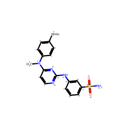 CC(=O)Nc1ccc(N(C)c2ccnc(Nc3cccc(S(N)(=O)=O)c3)n2)cc1